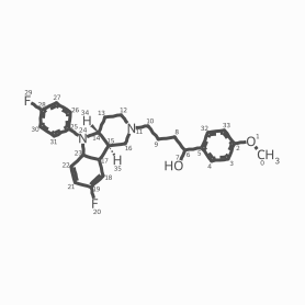 COc1ccc(C(O)CCCN2CC[C@@H]3[C@@H](C2)C2C=C(F)C=CC2N3c2ccc(F)cc2)cc1